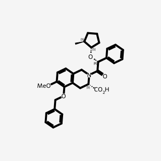 COc1ccc2c(c1OCc1ccccc1)C[C@@H](C(=O)O)N(C(=O)[C@H](O[C@H]1CCC[C@@H]1C)c1ccccc1)C2